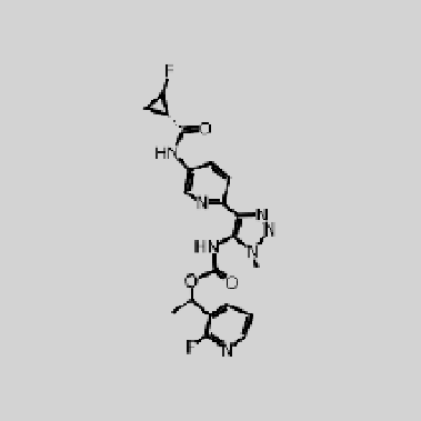 C[C@@H](OC(=O)Nc1c(-c2ccc(NC(=O)[C@@H]3C[C@H]3F)cn2)nnn1C)c1cccnc1F